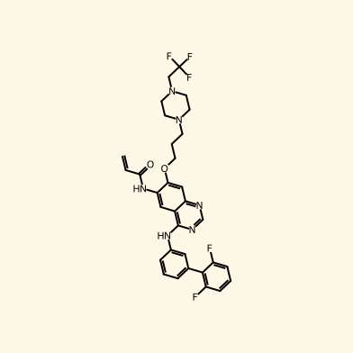 C=CC(=O)Nc1cc2c(Nc3cccc(-c4c(F)cccc4F)c3)ncnc2cc1OCCCN1CCN(CC(F)(F)F)CC1